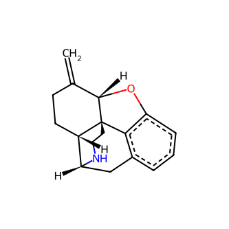 C=C1CC[C@H]2[C@H]3Cc4cccc5c4[C@@]2(CCN3)[C@H]1O5